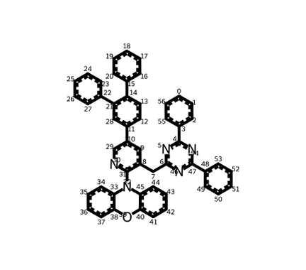 c1ccc(-c2nc(Cc3cc(-c4ccc(-c5ccccc5)c(-c5ccccc5)c4)cnc3N3c4ccccc4Oc4ccccc43)nc(-c3ccccc3)n2)cc1